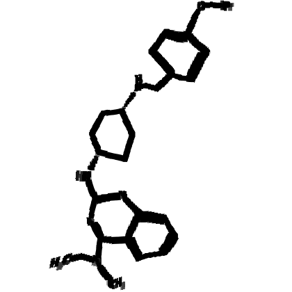 CC(C)Oc1ccc(CN[C@H]2CC[C@@H](Nc3nc(N(C)C)c4ccccc4n3)CC2)cc1